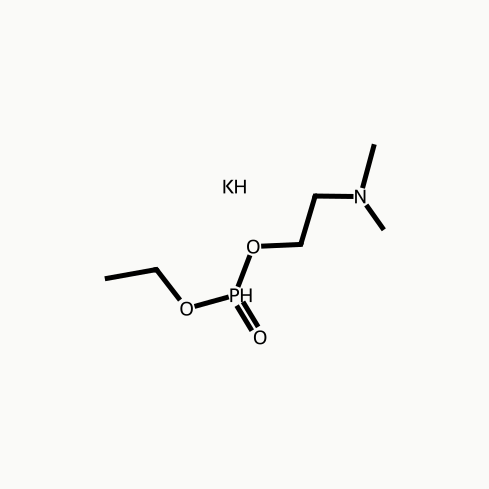 CCO[PH](=O)OCCN(C)C.[KH]